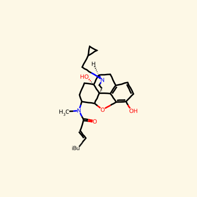 CCC(C)C=CC(=O)N(C)C1CC[C@@]2(O)[C@H]3Cc4ccc(O)c5c4[C@@]2(CCN3CC2CC2)C1O5